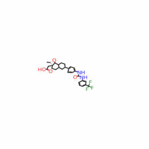 CC[C@@]1(CC(=O)O)CCC2CC(c3ccc(NC(=O)Nc4cccc(C(F)(F)F)c4)cc3)CCC2C1=O